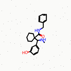 CNC(c1cccc(O)c1)C1(C(=O)NCc2ccccc2)CCCCC1